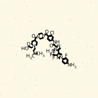 CN(C)CC[N+]1(CC(=O)O)CCC(C(=O)N2CCN(C(=O)c3ccc(NC(=O)c4ncc(-c5cn(-c6ccc(N)cc6F)nc5C(F)(F)F)n4C)cc3Cl)CC2)CC1